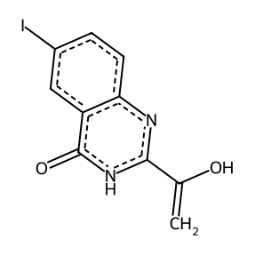 C=C(O)c1nc2ccc(I)cc2c(=O)[nH]1